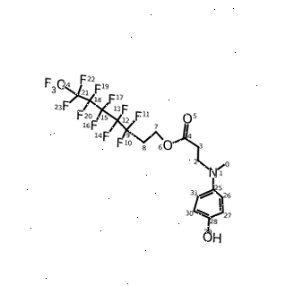 CN(CCC(=O)OCCC(F)(F)C(F)(F)C(F)(F)C(F)(F)C(F)(F)C(F)(F)F)c1ccc(O)cc1